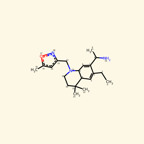 CCC1=CC2C(C=C1C(C)N)N(Cc1cc(C)on1)CCC2(C)C